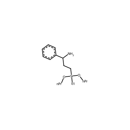 CCCO[Si](CC)(CCC(N)c1ccccc1)OCCC